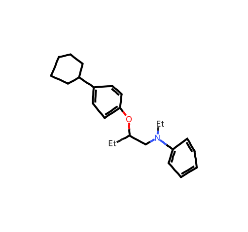 CCC(CN(CC)c1ccccc1)Oc1ccc(C2CCCCC2)cc1